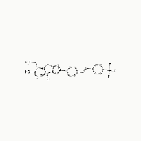 CCC(C(=O)O)N1Cc2sc(-c3ccc(/C=C/c4ccc(C(F)(F)F)cc4)cc3)cc2S1(=O)=O